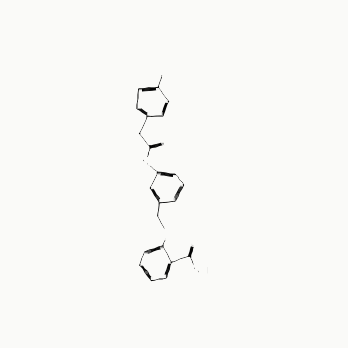 NC(=O)c1ccccc1OCc1cccc(NC(=O)Cc2ccc(Br)cc2)c1